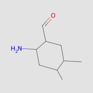 CC1CC(N)C(C=O)CC1C